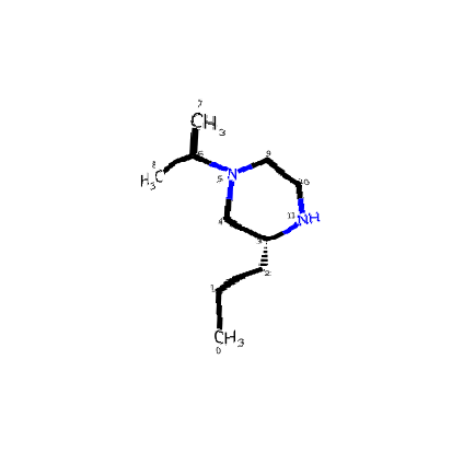 CCC[C@@H]1CN(C(C)C)CCN1